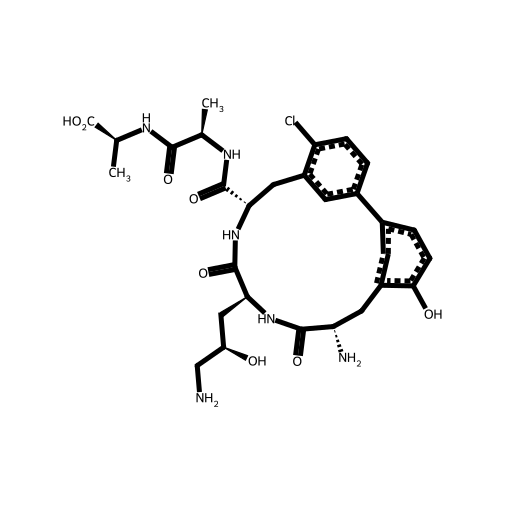 C[C@H](NC(=O)[C@@H](C)NC(=O)[C@@H]1Cc2cc(ccc2Cl)-c2ccc(O)c(c2)C[C@H](N)C(=O)N[C@@H](C[C@@H](O)CN)C(=O)N1)C(=O)O